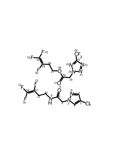 O=C(Cn1cc(Cl)cn1)NCCC(F)=C(F)F.O=C(Cn1nnc(C(F)(F)F)n1)OCCC(F)=C(F)F